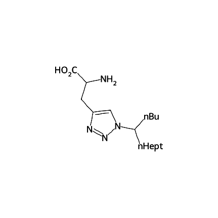 CCCCCCCC(CCCC)n1cc(CC(N)C(=O)O)nn1